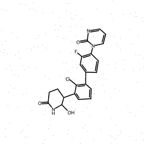 O=C1CCC(c2cccc(-c3ccc(-n4cccnc4=O)c(F)c3)c2Cl)C(O)N1